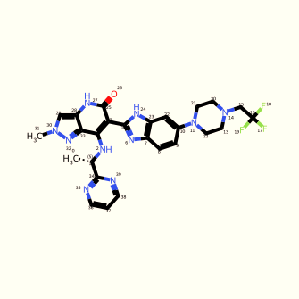 C[C@H](Nc1c(-c2nc3ccc(N4CCN(CC(F)(F)F)CC4)cc3[nH]2)c(=O)[nH]c2cn(C)nc12)c1ncccn1